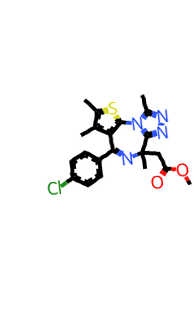 COC(=O)CC1(C)N=C(c2ccc(Cl)cc2)c2c(sc(C)c2C)-n2c(C)nnc21